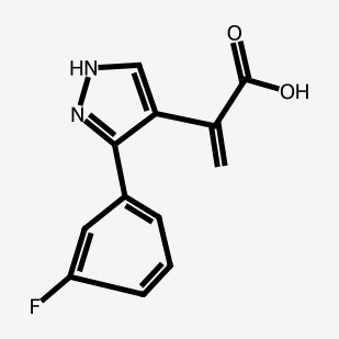 C=C(C(=O)O)c1c[nH]nc1-c1cccc(F)c1